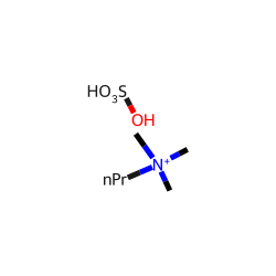 CCC[N+](C)(C)C.O=S(=O)(O)O